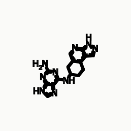 Nc1nc(NC2CCc3c(cnc4[nH]ncc34)C2)c2nc[nH]c2n1